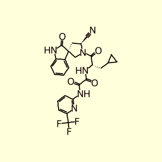 N#C[C@@H]1C[C@@]2(CN1C(=O)[C@H](CC1CC1)NC(=O)C(=O)Nc1cccc(C(F)(F)F)n1)C(=O)Nc1ccccc12